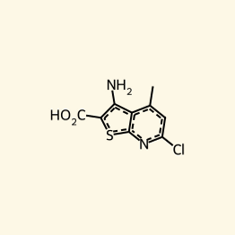 Cc1cc(Cl)nc2sc(C(=O)O)c(N)c12